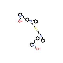 OCC[n+]1ccccc1/C=C/c1ccc(N(CCCCSSCCCCN(Cc2ccccc2)c2ccc(/C=C/c3cccc[n+]3CCO)cc2)Cc2ccccc2)cc1